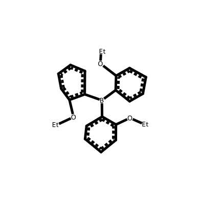 CCOc1ccccc1B(c1ccccc1OCC)c1ccccc1OCC